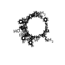 NCCCC[C@@H]1NC(=O)CCSCc2cccc(c2)CSC[C@@H](C(N)=O)NC(=O)[C@@H]2CCCN2C(=O)[C@H](Cc2nc3ccccc3s2)NC(=O)[C@H](Cc2cnc[nH]2)NC(=O)[C@H](CC(=O)O)NC(=O)[C@H](Cc2c[nH]c3ccc(F)cc23)NC(=O)[C@H](Cc2c[nH]c3ccc(F)cc23)NC(=O)CNC1=O